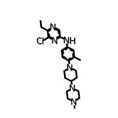 CCc1ncc(Nc2ccc(N3CCC(N4CCN(C)CC4)CC3)c(C)c2)nc1Cl